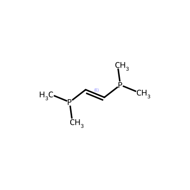 CP(C)/C=C/P(C)C